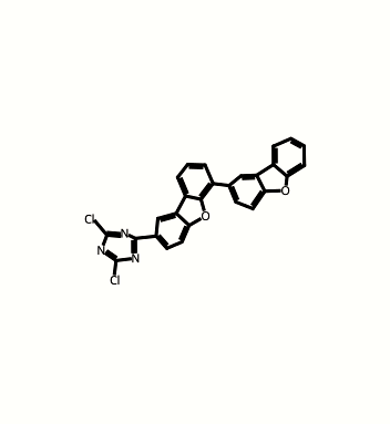 Clc1nc(Cl)nc(-c2ccc3oc4c(-c5ccc6oc7ccccc7c6c5)cccc4c3c2)n1